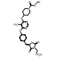 CCOC(=O)CN1C(=O)S/C(=C\c2ccc(Oc3ncnc(OC4CCN(C(=O)OC(C)(C)C)CC4)c3C)cc2)C1=O